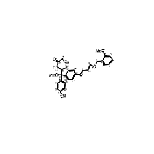 COc1ccccc1COCCCOc1ccc(C(OC)(c2ccc(C#N)cc2)C2CNCC(=O)N2)cc1